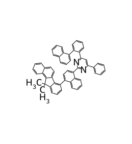 CC1(C)c2cccc(-c3ccc(-c4nc(-c5ccccc5)cc(-c5ccccc5-c5cccc6ccccc56)n4)c4ccccc34)c2-c2ccc3ccccc3c21